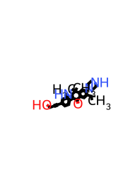 CCc1cc2c(cc1N1CCNCC1)C(C)(C)c1[nH]c3cc(C#CCO)ccc3c1C2=O